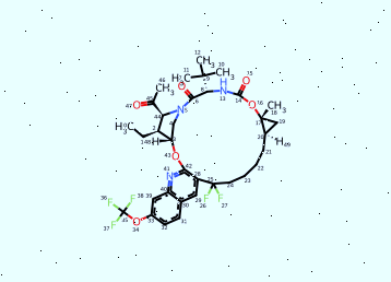 CC[C@@H]1[C@@H]2CN(C(=O)[C@H](C(C)(C)C)NC(=O)O[C@]3(C)C[C@H]3CCCCC(F)(F)c3cc4ccc(OC(F)(F)F)cc4nc3O2)[C@@H]1C(C)=O